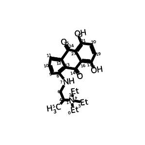 CC[N+](CC)(CC)C(C)CNc1cccc2c1C(=O)c1c(O)ccc(O)c1C2=O